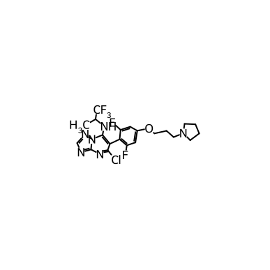 CC(Nc1c(-c2c(F)cc(OCCCN3CCCC3)cc2F)c(Cl)nc2ncnn12)C(F)(F)F